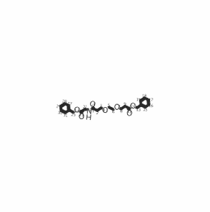 O=C(CCOCCOCCC(=O)OCc1ccccc1)NCC(=O)OCc1ccccc1